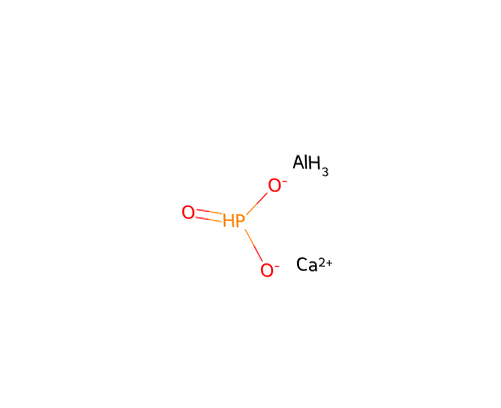 O=[PH]([O-])[O-].[AlH3].[Ca+2]